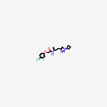 C=C(CCc1cn(C2CCC2)nn1)NC(=O)COc1ccc(Cl)c(F)c1